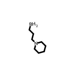 BCCCN1CCCCC1